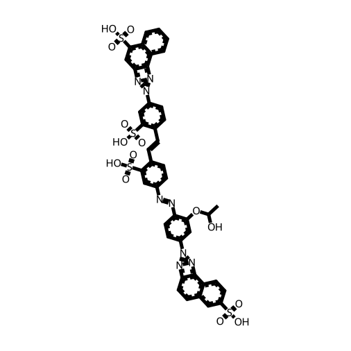 CC(O)Oc1cc(-n2n3c4ccc5cc(S(=O)(=O)O)ccc5c4n23)ccc1N=Nc1ccc(C=Cc2ccc(-n3n4c5cc(S(=O)(=O)O)c6ccccc6c5n34)cc2S(=O)(=O)O)c(S(=O)(=O)O)c1